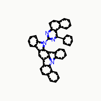 c1ccc(-c2nc(-n3c4ccccc4c4cc5c6ccc7ccccc7c6n6c7ccccc7c(c43)c56)nc3ccc4ccccc4c23)cc1